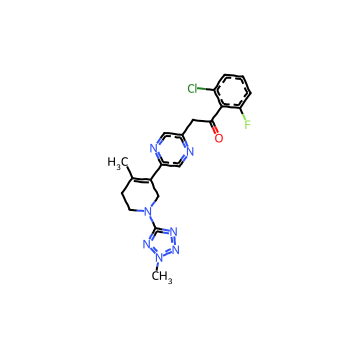 CC1=C(c2cnc(CC(=O)c3c(F)cccc3Cl)cn2)CN(c2nnn(C)n2)CC1